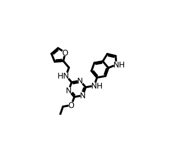 CCOc1nc(NCc2ccco2)nc(Nc2ccc3cc[nH]c3c2)n1